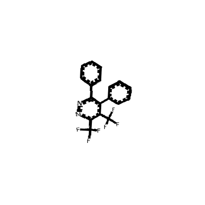 FC(F)(F)c1nnc(-c2ccccc2)c(-c2ccccc2)c1C(F)(F)F